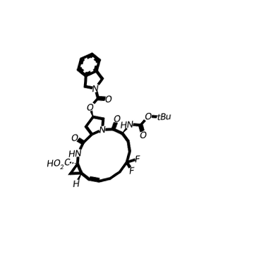 CC(C)(C)OC(=O)N[C@H]1CCC(F)(F)CC/C=C\[C@@H]2C[C@@]2(C(=O)O)NC(=O)C2C[C@@H](OC(=O)N3Cc4ccccc4C3)CN2C1=O